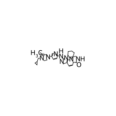 C[C@H]1CN(c2ccc(Nc3ncc4c(n3)N3C(C=C4)C(=O)NCC34CCCCC4)nc2)CCN1CC1CC1